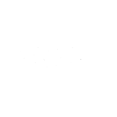 NC(CO)C1CCN(Cc2ccccc2)CC1